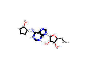 COC[C@H]1O[C@@H](n2cnc3c(N[C@@H]4CCC[C@H]4O)ncnc32)[C@H](O)[C@@H]1O